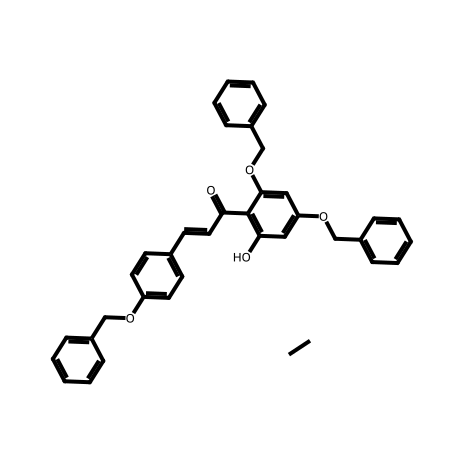 CC.O=C(/C=C/c1ccc(OCc2ccccc2)cc1)c1c(O)cc(OCc2ccccc2)cc1OCc1ccccc1